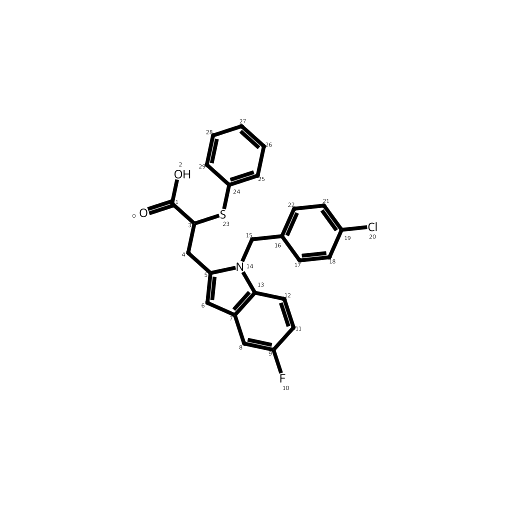 O=C(O)C(Cc1cc2cc(F)ccc2n1Cc1ccc(Cl)cc1)Sc1ccccc1